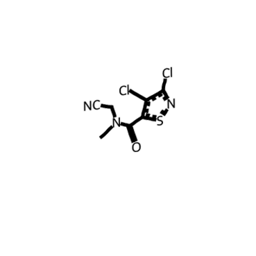 CN(CC#N)C(=O)c1snc(Cl)c1Cl